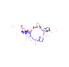 CCC(C)C(=O)N[C@@H](CCC(N)=O)C(=O)N[C@@H]1C(=O)N[C@@H](CC(C)C)C(=O)N[C@H]2CC=CN(C2=O)[C@@H](C(C)CC)C(=O)N(C)[C@@H](Cc2ccc(O)cc2)C(=O)N[C@@H](C(C)CC)C(=O)O[C@@H]1C